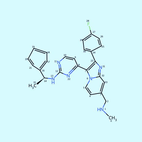 CNCc1ccn2c(-c3ccnc(N[C@@H](C)c4ccccc4)n3)c(-c3ccc(F)cc3)nc2c1